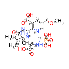 COCc1cnc(C2=NC(C)(C(C)C)C(=O)N2)c(C(=O)O)c1.O=C(O)CNCP(=O)(O)O